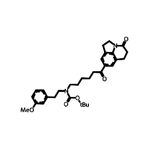 COc1cccc(CCN(CCCCCC(=O)c2cc3c4c(c2)CCN4C(=O)CC3)C(=O)OC(C)(C)C)c1